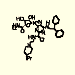 CCNC(=O)[C@H]1O[C@@H](n2cnc3c(NCC(c4ccccc4)c4ccccc4)nc(C(=O)NCCN4CCC(C(C)C)CC4)nc32)[C@@H](O)[C@@H]1O